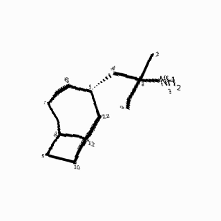 CC(C)(N)C[C@H]1CCC2CCC2C1